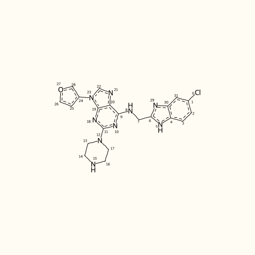 Clc1ccc2[nH]c(CNc3nc(N4CCNCC4)nc4c3ncn4-c3ccoc3)nc2c1